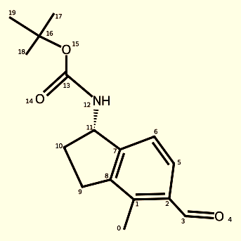 Cc1c(C=O)ccc2c1CC[C@@H]2NC(=O)OC(C)(C)C